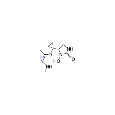 CN/N=C(/C)OC1(C2CNC(=O)N2O)CC1